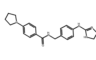 O=C(NCc1ccc(NC2=NCCN2)cc1)c1ccc(N2CCCC2)cc1